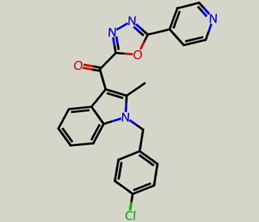 Cc1c(C(=O)c2nnc(-c3ccncc3)o2)c2ccccc2n1Cc1ccc(Cl)cc1